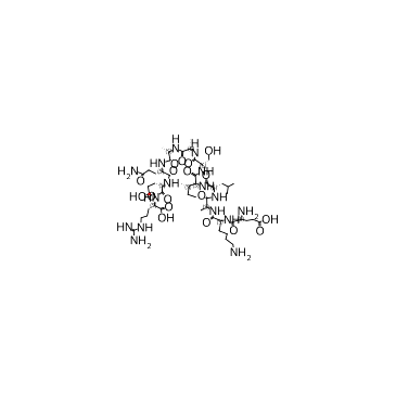 CC[C@H](C)[C@H](NC(=O)[C@H](CC(C)C)NC(=O)[C@H](C)NC(=O)[C@H](CCCCN)NC(=O)[C@@H](N)CCC(=O)O)C(=O)N[C@@H](CO)C(=O)N[C@@H](C)C(=O)N[C@@H](C)C(=O)N[C@@H](CCC(N)=O)C(=O)N[C@@H](CCC(=O)O)C(=O)N[C@@H](CCCNC(=N)N)C(=O)O